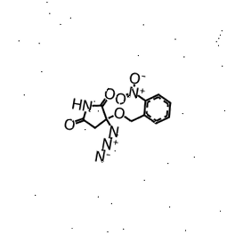 [N-]=[N+]=NC1(OCc2ccccc2[N+](=O)[O-])CC(=O)NC1=O